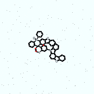 O=P1(c2ccccc2)c2ccccc2C2(c3ccccc3Sc3cc(-n4c5ccccc5c5c6c(ccc54)oc4ccccc46)ccc32)c2cc3c(cc21)oc1ccccc13